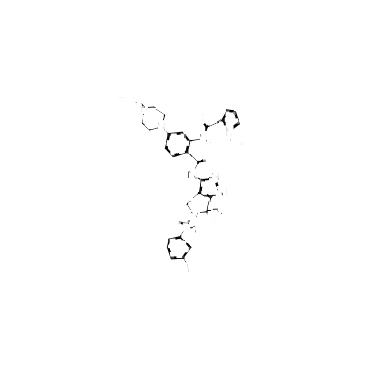 CN1CCN(c2ccc(C(=O)Nc3n[nH]c4c3CN(S(=O)(=O)c3cccc(F)c3)C4(C)C)c(NC(=O)c3cccn3C)c2)CC1